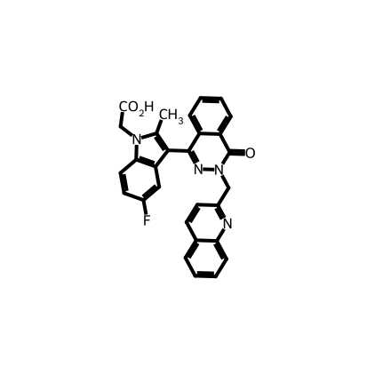 Cc1c(-c2nn(Cc3ccc4ccccc4n3)c(=O)c3ccccc23)c2cc(F)ccc2n1CC(=O)O